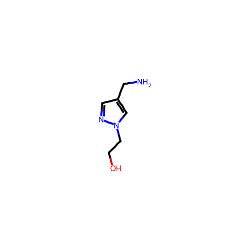 NCc1cnn(CCO)c1